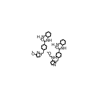 COCNc1ccnn1Cc1ccc(C(=O)Nc2ccccc2N)cc1.COc1ccn(Cc2ccc(C(=O)Nc3ccccc3N)cc2)n1